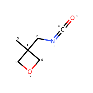 CC1(CN=C=O)COC1